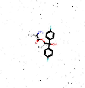 C[C@H](OC(=O)[C@@H](C)N)C(O)(c1ccc(F)cc1)c1ccc(F)cc1